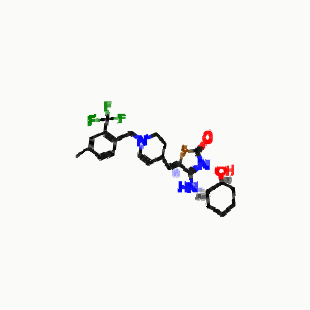 Cc1ccc(CN2CCC(/C=C3\SC(=O)N=C3N[C@H]3CCCC[C@@H]3O)CC2)c(C(F)(F)F)c1